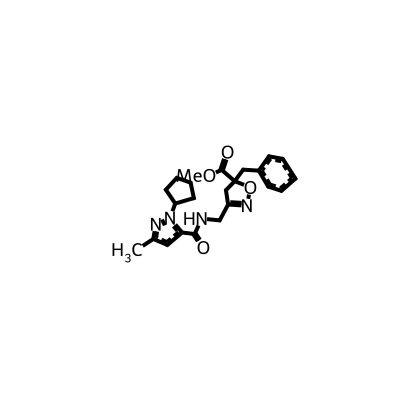 COC(=O)C1(Cc2ccccc2)CC(CNC(=O)c2cc(C)nn2C2CCCC2)=NO1